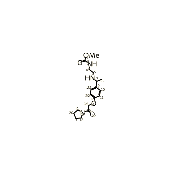 COC(=O)NCCNC(C)c1ccc(OCC(=O)N2CCCC2)cc1